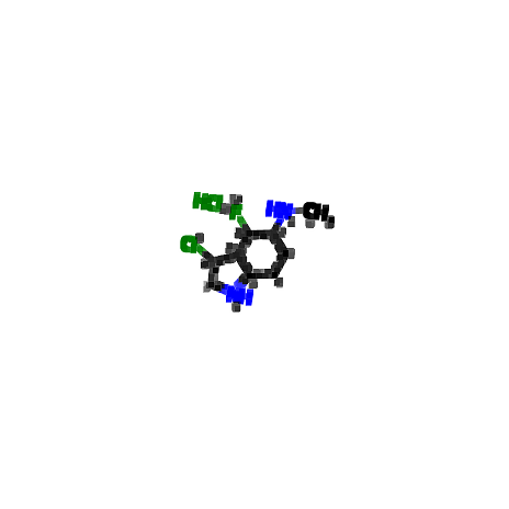 CNc1ccc2[nH]cc(Cl)c2c1F.Cl